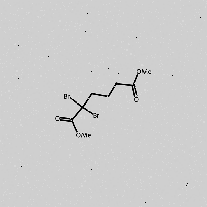 COC(=O)CCCC(Br)(Br)C(=O)OC